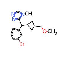 COCC1CC(C(c2cccc(Br)c2)c2nncn2C)C1